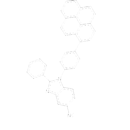 [C-]#[N+]c1ccc2c(c1)nc(-c1ccccc1)n2-c1ccc(-c2ccc3ccc4cccc5ccc2c3c45)cc1